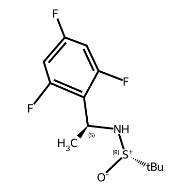 C[C@H](N[S@@+]([O-])C(C)(C)C)c1c(F)cc(F)cc1F